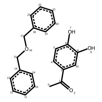 CC(=O)c1ccc(O)c(O)c1.c1ccc(COCc2ccccc2)cc1